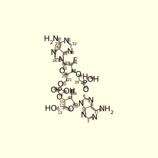 Nc1ncnc2c1ncn2[C@@H]1O[C@H](CO)C(OP(=O)(O)OC[C@H]2O[C@@H](n3cnc4c(N)ncnc43)C(F)[C@H]2OC[PH](=O)O)C1F